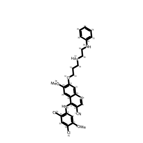 COc1cc(Nc2c(C#N)cnc3cc(OCCC[AsH]CCNc4ccccc4)c(OC)cc23)c(Cl)cc1Cl